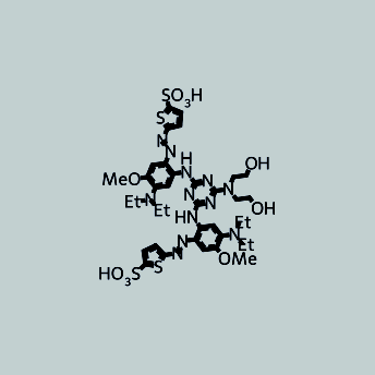 CCN(CC)c1cc(Nc2nc(Nc3cc(N(CC)CC)c(OC)cc3/N=N/c3ccc(S(=O)(=O)O)s3)nc(N(CCO)CCO)n2)c(/N=N/c2ccc(S(=O)(=O)O)s2)cc1OC